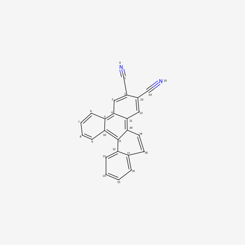 N#Cc1cc2c3ccccc3c3c4ccccc4ccc3c2cc1C#N